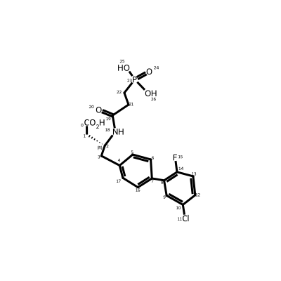 O=C(O)C[C@@H](Cc1ccc(-c2cc(Cl)ccc2F)cc1)NC(=O)CCP(=O)(O)O